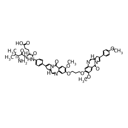 COc1ccc(C2=CN3C(=O)c4cc(OC)c(OCCCOc5cc6c(cc5OC)C(=O)N5C=C(c7ccc(NC(=O)[C@H](CCC(=O)O)NC(=O)[C@@H](N)C(C)C)cc7)C[C@H]5C=N6)cc4N=C[C@@H]3C2)cc1